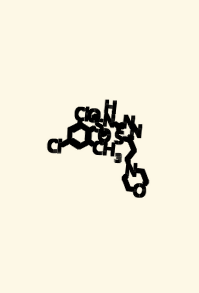 Cc1cc(Cl)cc(Cl)c1S(=O)(=O)Nc1nnc(CCN2CCOCC2)s1